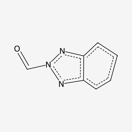 O=Cn1nc2ccccc2n1